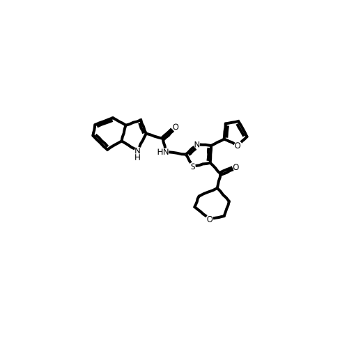 O=C(Nc1nc(-c2ccco2)c(C(=O)C2CCOCC2)s1)C1=CC2C=CC=CC2N1